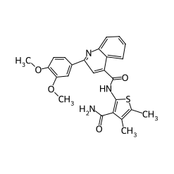 COc1ccc(-c2cc(C(=O)Nc3sc(C)c(C)c3C(N)=O)c3ccccc3n2)cc1OC